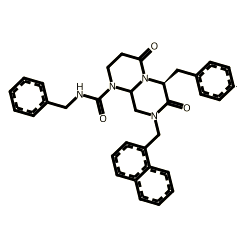 O=C1[C@H](Cc2cc[c]cc2)N2C(=O)CCN(C(=O)NCc3ccccc3)C2CN1Cc1cccc2ccccc12